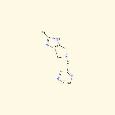 [2H]c1nc2c([nH]1)CN(Cc1cnccn1)C2